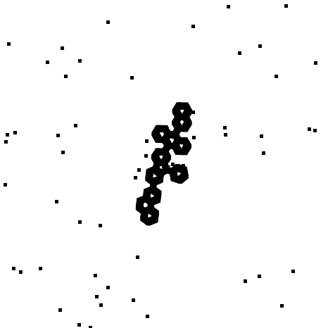 c1ccc(-n2c3cc(-c4ccc5c(ccc6ccccc65)c4)ccc3c3ccc(-c4c5ccccc5c(-c5ccc6ccccc6c5)c5ccccc45)cc32)cc1